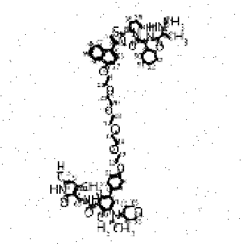 CCN(c1cc(-c2ccc(OCCOCCOCCOCCOCCOc3ccc(-c4csc([C@@H]5CCCN5C(=O)C(NC(=O)C(C)NC)C5CCCCC5)n4)c4ccccc34)cc2)cc(C(=O)NCc2c(C)cc(C)[nH]c2=O)c1C)C1CCOCC1